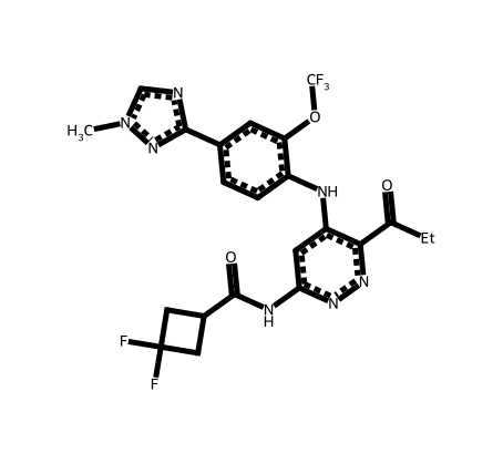 CCC(=O)c1nnc(NC(=O)C2CC(F)(F)C2)cc1Nc1ccc(-c2ncn(C)n2)cc1OC(F)(F)F